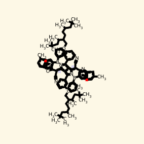 Cc1ccc2oc(/C(C#N)=c3/c4c(-c5cccc(OCC(CCC(C)CC(C)(C)C)C(C)CC(C)(C)C)c5)n(B(c5ccccc5)c5ccccc5)/c(=C(/C#N)c5nc6cc(C)ccc6o5)c4c(-c4cccc(OCC(CCC(C)CC(C)(C)C)C(C)CC(C)(C)C)c4)n3B(c3ccccc3)c3ccccc3)nc2c1